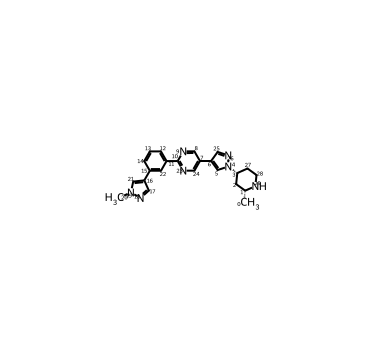 C[C@@H]1C[C@H](n2cc(-c3cnc(-c4cccc(-c5cnn(C)c5)c4)nc3)cn2)CCN1